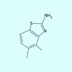 Cc1ccc2sc(N)nc2c1C